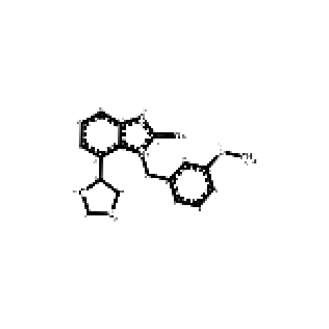 COc1cccc(Cn2c(=O)oc3cccc(C4COCO4)c32)c1